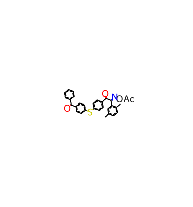 CC(=O)O/N=C(/C(=O)c1ccc(Sc2ccc(C(=O)c3ccccc3)cc2)cc1)c1cc(C)ccc1C